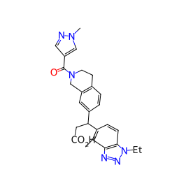 CCn1nnc2c(C)c(C(CC(=O)O)c3ccc4c(c3)CN(C(=O)c3cnn(C)c3)CC4)ccc21